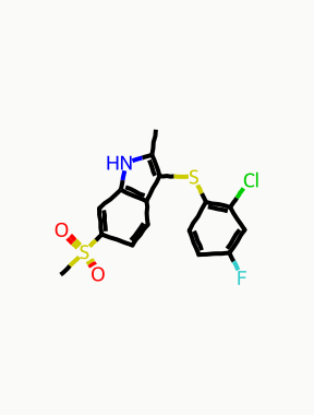 Cc1[nH]c2cc(S(C)(=O)=O)ccc2c1Sc1ccc(F)cc1Cl